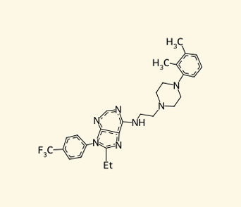 CCc1nc2c(NCCN3CCN(c4cccc(C)c4C)CC3)ncnc2n1-c1ccc(C(F)(F)F)cc1